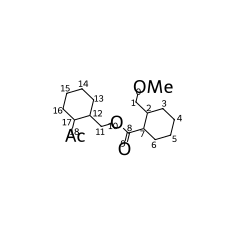 COCC1CCCCC1C(=O)OCC1CCCCC1C(C)=O